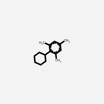 Cc1[c]c(C)c(C2CCCCC2)c(C)c1